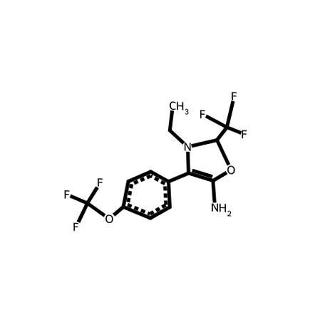 CCN1C(c2ccc(OC(F)(F)F)cc2)=C(N)OC1C(F)(F)F